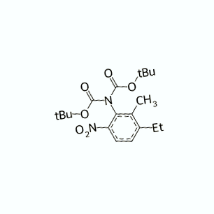 CCc1ccc([N+](=O)[O-])c(N(C(=O)OC(C)(C)C)C(=O)OC(C)(C)C)c1C